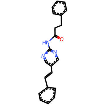 O=C(CCc1ccccc1)Nc1ncc(/C=C/c2ccccc2)cn1